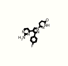 Nc1nccc(-c2cn(C3=NNC(=O)CC3)nc2-c2ccc(F)cc2)n1